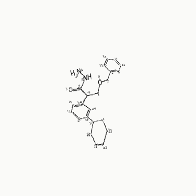 NNC(=O)C(COCc1ccccc1)c1cccc(C2CCCCC2)c1